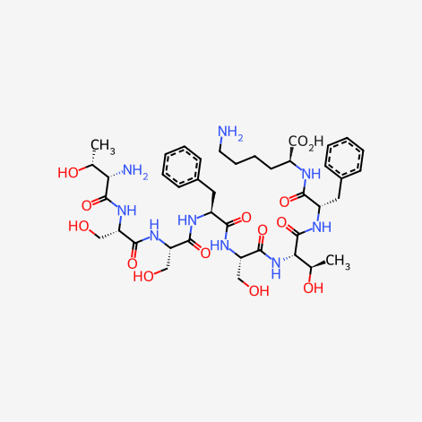 C[C@@H](O)[C@H](N)C(=O)N[C@@H](CO)C(=O)N[C@@H](CO)C(=O)N[C@@H](Cc1ccccc1)C(=O)N[C@@H](CO)C(=O)N[C@H](C(=O)N[C@@H](Cc1ccccc1)C(=O)N[C@@H](CCCCN)C(=O)O)[C@@H](C)O